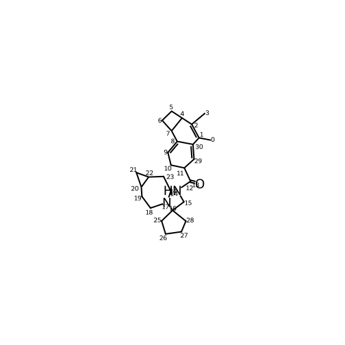 CC1=C(C)C2CCC2C2=CCC(C(=O)NCC3(N4CCC5CC5CC4)CCCC3)C=C21